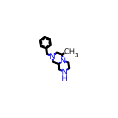 CC1CN(Cc2ccccc2)CC2CNCCN12